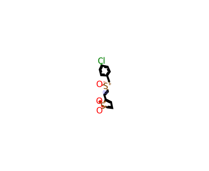 O=S1(=O)C=CC=C1/C=C/[S+]([O-])Cc1ccc(Cl)cc1